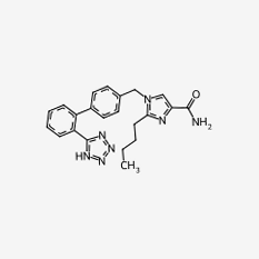 CCCCc1nc(C(N)=O)cn1Cc1ccc(-c2ccccc2-c2nnn[nH]2)cc1